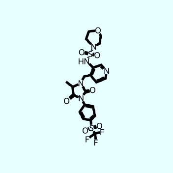 CC1C(=O)N(c2ccc(S(=O)(=O)C(F)(F)F)cc2)C(=O)N1Cc1ccncc1NS(=O)(=O)N1CCOCC1